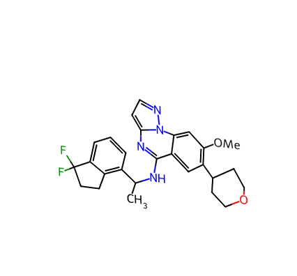 COc1cc2c(cc1C1CCOCC1)c(NC(C)c1cccc3c1CCC3(F)F)nc1ccnn12